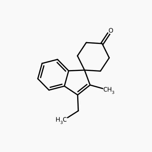 CCC1=C(C)C2(CCC(=O)CC2)c2ccccc21